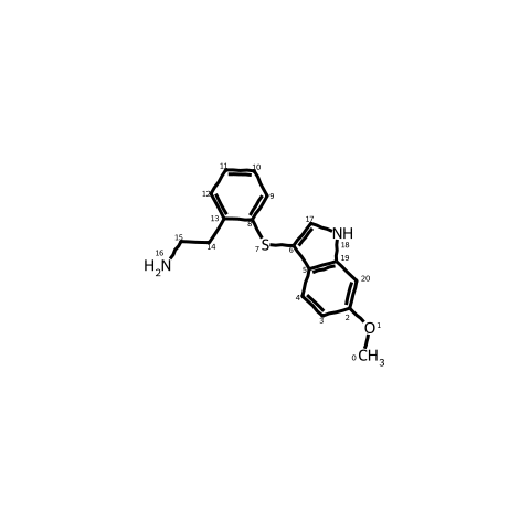 COc1ccc2c(Sc3ccccc3CCN)c[nH]c2c1